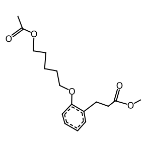 COC(=O)CCc1ccccc1OCCCCCOC(C)=O